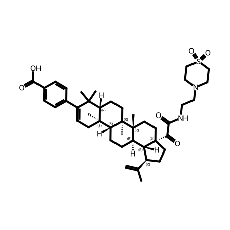 C=C(C)[C@@H]1CC[C@]2(C(=O)C(=O)NCCN3CCS(=O)(=O)CC3)CC[C@]3(C)[C@H](CC[C@@H]4[C@@]5(C)CC=C(c6ccc(C(=O)O)cc6)C(C)(C)[C@@H]5CC[C@]43C)[C@@H]12